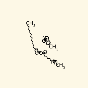 CCCCCCCCCCCCCC[C@@H]1CO[C@@H](COC(=O)CCCCC[n+]2ccn(C)c2)C1.Cc1ccc(S(=O)(=O)[O-])cc1